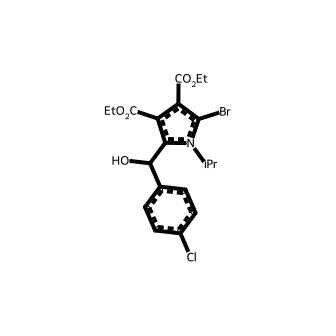 CCOC(=O)c1c(C(=O)OCC)c(C(O)c2ccc(Cl)cc2)n(C(C)C)c1Br